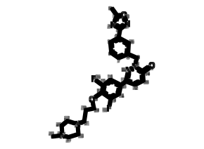 Cc1nc(-c2cccc(Cn3nc(-c4cc(F)c(OCCCN5CCN(C)CC5)c(F)c4)ccc3=O)c2)no1